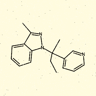 [CH2]CC(C)(c1cccnc1)n1nc(C)c2ccccc21